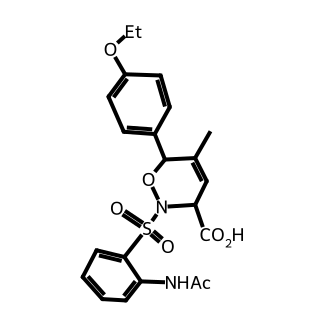 CCOc1ccc(C2ON(S(=O)(=O)c3ccccc3NC(C)=O)C(C(=O)O)C=C2C)cc1